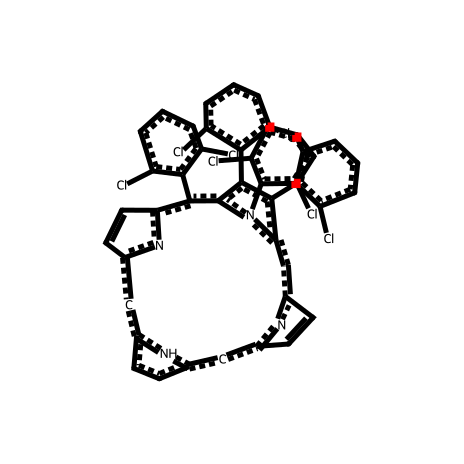 Clc1cccc(Cl)c1-c1c(-c2c(Cl)cccc2Cl)c2c(-c3c(Cl)cccc3Cl)c3nc(cc4ccc(cc5nc(cc1n2-c1c(Cl)cccc1Cl)C=C5)[nH]4)C=C3